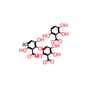 O=C([O-])c1c(O)ccc(O)c1O.O=C([O-])c1c(O)ccc(O)c1O.O=C([O-])c1c(O)ccc(O)c1O.[Al+3]